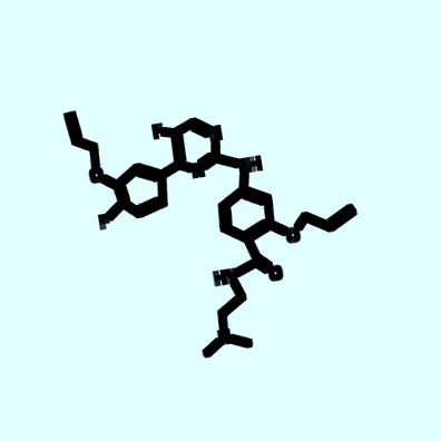 C=CCOc1cc(-c2nc(Nc3ccc(C(=O)NCCN(C)C)c(OCC=C)c3)ncc2F)ccc1F